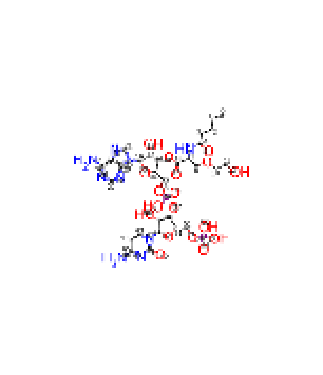 C=CCCC(=O)N[C@@H](COCCO)C(=O)O[C@H]1[C@@H](O)[C@H](n2cnc3c(N)ncnc32)O[C@@H]1COP(=O)(O)O[C@H]1[C@@H](O)[C@H](n2ccc(N)nc2=O)O[C@@H]1COP(=O)(O)O